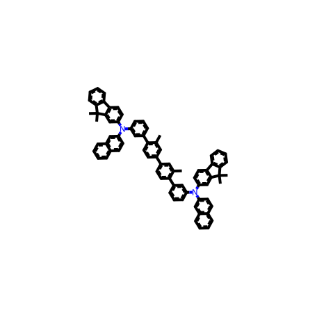 Cc1cc(-c2ccc(-c3cccc(N(c4ccc5c(c4)C(C)(C)c4ccccc4-5)c4ccc5ccccc5c4)c3)c(C)c2)ccc1-c1cccc(N(c2ccc3c(c2)C(C)(C)c2ccccc2-3)c2ccc3ccccc3c2)c1